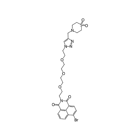 O=C1c2cccc3c(Br)ccc(c23)C(=O)N1CCOCCOCCOCCn1cc(CN2CCS(=O)(=O)CC2)nn1